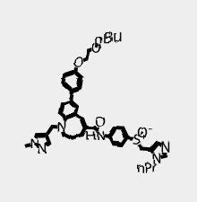 CCCCOCCOc1ccc(-c2ccc3c(c2)C=C(C(=O)Nc2ccc([S@@+]([O-])Cc4cncn4CCC)cc2)CCCN3Cc2cnn(C)c2)cc1